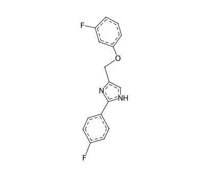 Fc1ccc(-c2nc(COc3cccc(F)c3)c[nH]2)cc1